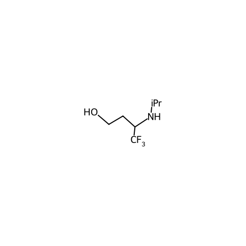 CC(C)NC(CCO)C(F)(F)F